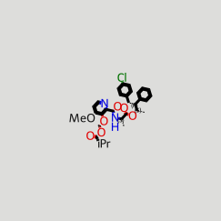 COc1ccnc(C(=O)N[C@@H](C)C(=O)O[C@@H](C)[C@H](Cc2ccc(Cl)cc2)c2ccccc2)c1OCOC(=O)C(C)C